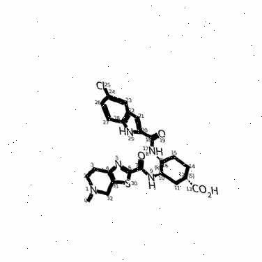 CN1CCc2nc(C(=O)N[C@@H]3C[C@@H](C(=O)O)CC[C@H]3NC(=O)c3cc4cc(Cl)ccc4[nH]3)sc2C1